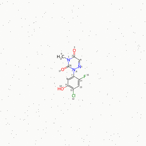 Cn1c(=O)cnn(-c2cc(O)c(Cl)cc2F)c1=O